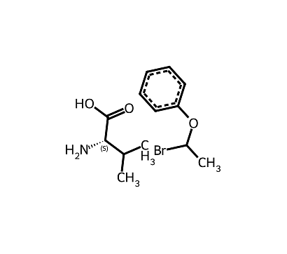 CC(Br)Oc1ccccc1.CC(C)[C@H](N)C(=O)O